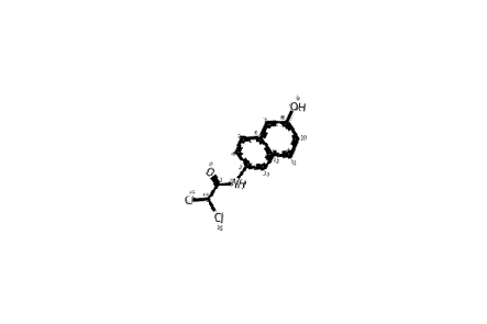 O=C(Nc1ccc2cc(O)ccc2c1)C(Cl)Cl